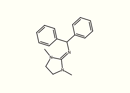 CN1CCN(C)C1=NC(c1ccccc1)c1ccccc1